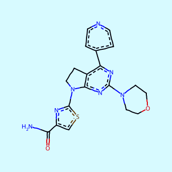 NC(=O)c1csc(N2CCc3c(-c4ccncc4)nc(N4CCOCC4)nc32)n1